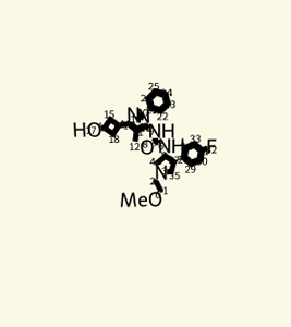 COCCN1C[C@@H](NC(=O)Nc2c(C)c(C3CC(O)C3)nn2-c2ccccc2)[C@H](c2ccc(F)cc2)C1